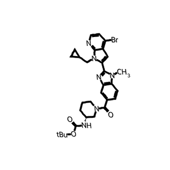 Cn1c(-c2cc3c(Br)ccnc3n2CC2CC2)nc2cc(C(=O)N3CCC[C@@H](NC(=O)OC(C)(C)C)C3)ccc21